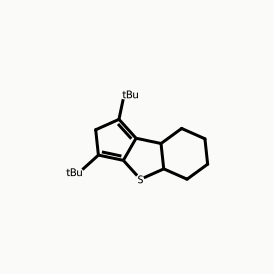 CC(C)(C)C1=C2SC3CCCCC3C2=C(C(C)(C)C)C1